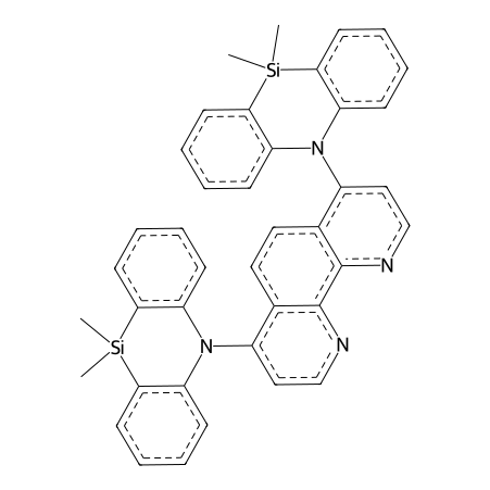 C[Si]1(C)c2ccccc2N(c2ccnc3c2ccc2c(N4c5ccccc5[Si](C)(C)c5ccccc54)ccnc23)c2ccccc21